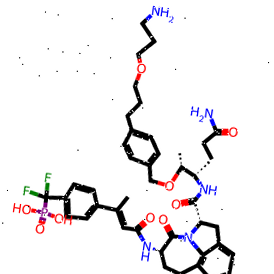 C/C(=C\C(=O)N[C@H]1CCc2cccc3c2N(C1=O)[C@H](C(=O)N[C@@H](CCC(N)=O)[C@@H](C)OCc1ccc(CCCOCCCN)cc1)C3)c1ccc(C(F)(F)P(=O)(O)O)cc1